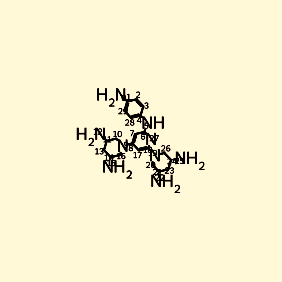 Nc1ccc(Nc2cc(N3C[C@H](N)C[C@H](N)C3)cc(N3C[C@H](N)C[C@H](N)C3)n2)cc1